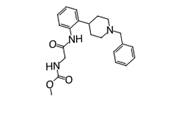 COC(=O)NCC(=O)Nc1ccccc1C1CCN(Cc2ccccc2)CC1